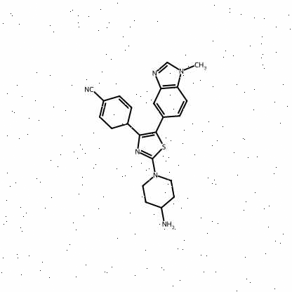 Cn1cnc2cc(-c3sc(N4CCC(N)CC4)nc3C3C=CC(C#N)=CC3)ccc21